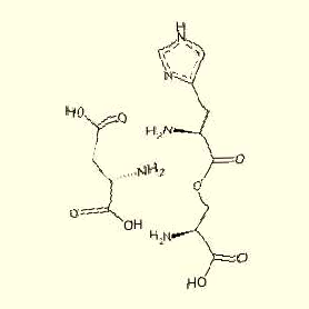 N[C@@H](CC(=O)O)C(=O)O.N[C@@H](COC(=O)[C@@H](N)Cc1c[nH]cn1)C(=O)O